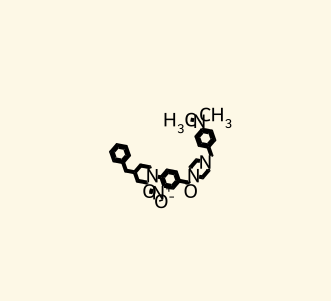 CN(C)c1ccc(CN2CCN(C(=O)c3ccc(N4CCC(Cc5ccccc5)CC4)c([N+](=O)[O-])c3)CC2)cc1